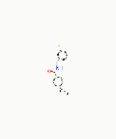 Cc1ccc(C(=O)NCc2cccc(F)c2)cc1